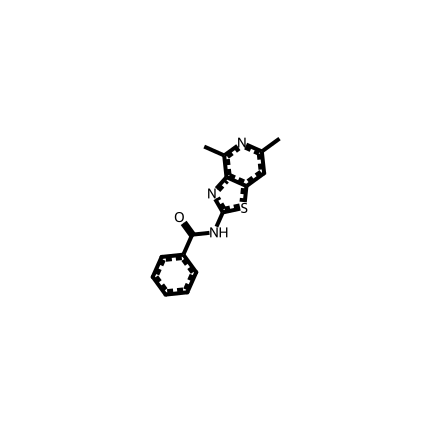 Cc1cc2sc(NC(=O)c3ccccc3)nc2c(C)n1